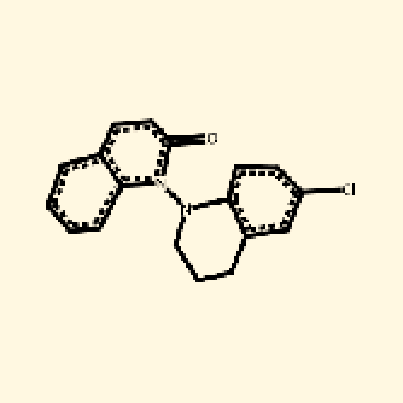 O=c1ccc2ccccc2n1N1CCCc2cc(Cl)ccc21